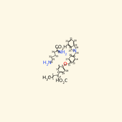 CC=CC(CC(=O)O)c1ccc(OCc2ccc(CN3Cc4ccccc4C3)cc2)cc1.NCCCCC(N)C(=O)O